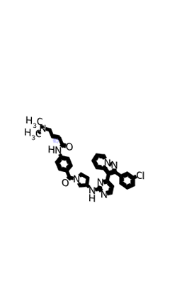 CN(C)C/C=C/C(=O)Nc1ccc(C(=O)N2CCC(Nc3nccc(-c4c(-c5cccc(Cl)c5)nn5ccccc45)n3)C2)cc1